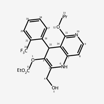 CCOC(=O)OC1=C(CO)Nc2ccnc(OC(C)C)c2C1c1ccccc1C(F)(F)F